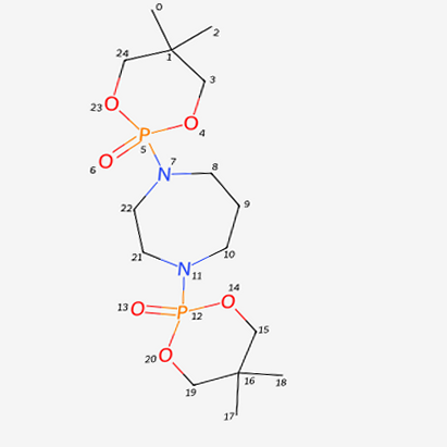 CC1(C)COP(=O)(N2CCCN(P3(=O)OCC(C)(C)CO3)CC2)OC1